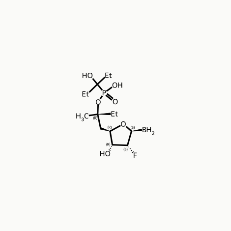 B[C@@H]1O[C@H](C[C@@](C)(CC)OP(=O)(O)C(O)(CC)CC)[C@@H](O)[C@H]1F